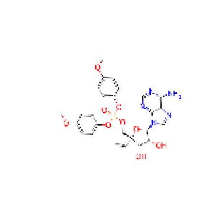 C=C[C@]1(COP(=O)(Oc2ccc(OC)cc2)Oc2ccc(OC)cc2)O[C@@H](n2cnc3c(N)ncnc32)[C@H](O)[C@@H]1O